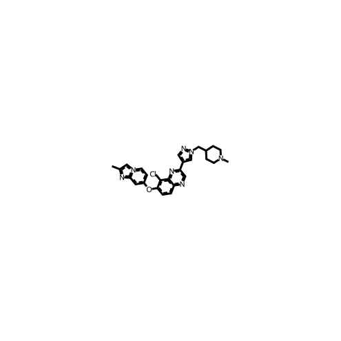 Cc1cn2ccc(Oc3ccc4ncc(-c5cnn(CC6CCN(C)CC6)c5)nc4c3Cl)cc2n1